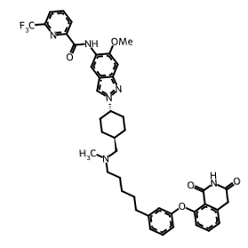 COc1cc2nn([C@H]3CC[C@H](CN(C)CCCCCc4cccc(Oc5cccc6c5C(=O)NC(=O)C6)c4)CC3)cc2cc1NC(=O)c1cccc(C(F)(F)F)n1